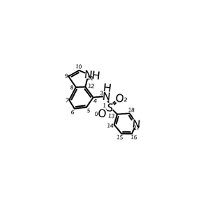 O=S(=O)(Nc1cccc2cc[nH]c12)c1cccnc1